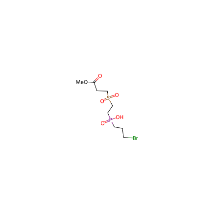 COC(=O)CCS(=O)(=O)CCP(=O)(O)CCCBr